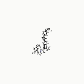 Cc1ccc(C(C)C)c(N2CCS/C2=N\C(=O)NC2=C(c3ccc(-c4ncn(-c5ccc(OC(F)(F)F)cc5)n4)cc3)CCC2)c1